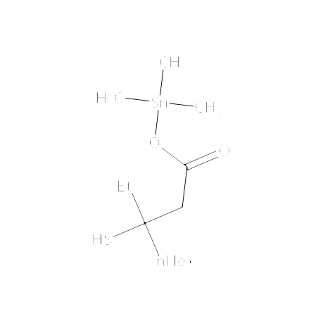 CCCCCCC(S)(CC)CC(=O)[O][Sn]([CH3])([CH3])[CH3]